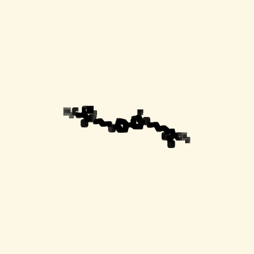 C=C(CC)C(=O)OCCCCOc1ccc(-c2ccc(OCCCCC3CC(=C)C(=O)O3)c(F)c2)cc1